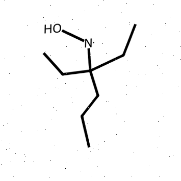 CCCC(CC)(CC)[N]O